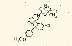 COc1ccc(CN2OCC3CN(C(=O)OC(C)(C)C)CC32c2cc(Cl)ccn2)cc1